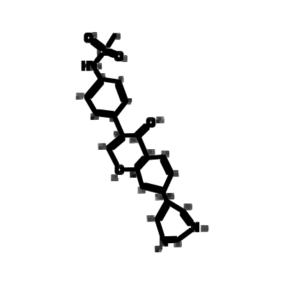 CS(=O)(=O)Nc1ccc(-c2coc3cc(-c4cncnc4)ccc3c2=O)cc1